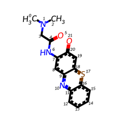 CN(C)CC(=O)Nc1cc2nc3ccccc3sc-2cc1=O